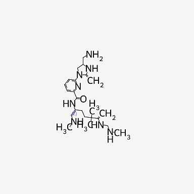 C=C1NC(CN)CN1c1cccc(C(=O)N/C(=C/NC)CCC(C)(C)C(=C)NCNC)n1